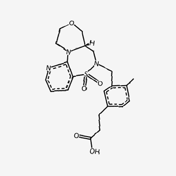 Cc1ccc(CCC(=O)O)cc1CN1C[C@H]2COCCN2c2ncccc2S1(=O)=O